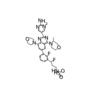 CC1COCCN1c1nc(-c2cnc(N)nc2)nc2c(N3CCOCC3)cc(-c3cccc(C(F)CCN[SH](=O)=O)c3F)cc12